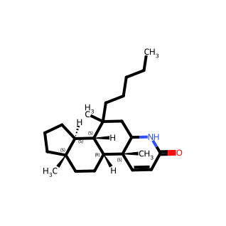 CCCCCC1(C)CC2NC(=O)C=C[C@]2(C)[C@@H]2CC[C@]3(C)CCC[C@H]3[C@@H]21